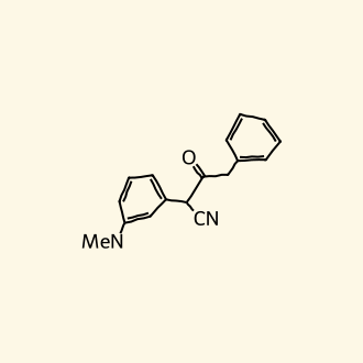 CNc1cccc(C(C#N)C(=O)Cc2ccccc2)c1